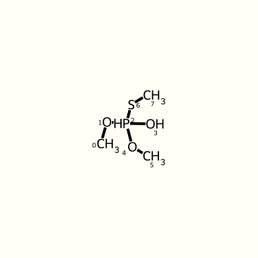 CO[PH](O)(OC)SC